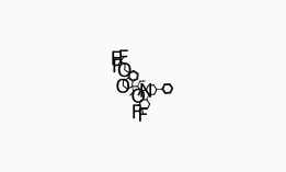 CC[C@@H](C(=O)N1CC[C@@H](c2ccccc2)C[C@H]1C1CCC(F)(F)CC1)[C@]1(CC)COCc2c(OCC(F)(F)F)cccc21